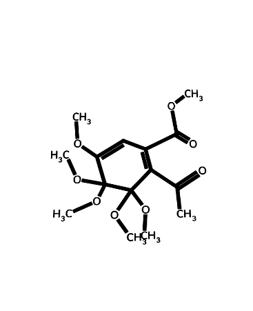 COC(=O)C1=C(C(C)=O)C(OC)(OC)C(OC)(OC)C(OC)=C1